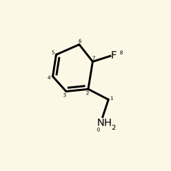 NCC1=CC=CCC1F